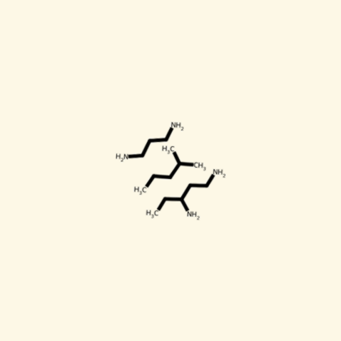 CCC(N)CCN.CCCC(C)C.NCCCN